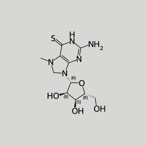 CN1CN([C@@H]2O[C@H](CO)[C@@H](O)[C@H]2O)c2nc(N)[nH]c(=S)c21